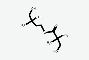 CC(C)(CO)CCOC(=O)C(C)(C)CO